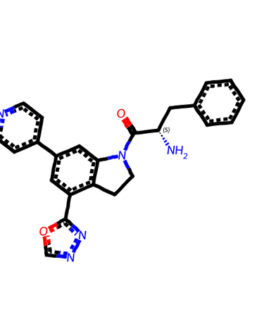 N[C@@H](Cc1ccccc1)C(=O)N1CCc2c(-c3nnco3)cc(-c3ccncc3)cc21